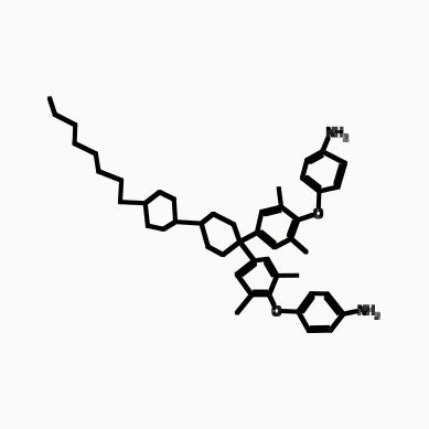 CCCCCCCCC1CCC(C2CCC(c3cc(C)c(Oc4ccc(N)cc4)c(C)c3)(c3cc(C)c(Oc4ccc(N)cc4)c(C)c3)CC2)CC1